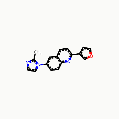 Cc1nccn1-c1ccc2nc(-c3ccoc3)ccc2c1